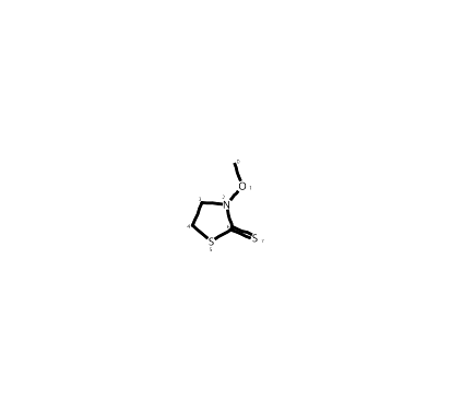 CON1CCSC1=S